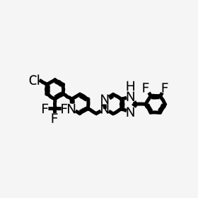 Fc1cccc(-c2nc3c([nH]2)C=NN(Cc2ccc(-c4ccc(Cl)cc4C(F)(F)F)nc2)C3)c1F